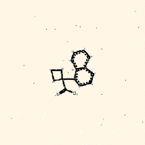 O=C(Cl)C1(c2cccc3ccccc23)CCC1